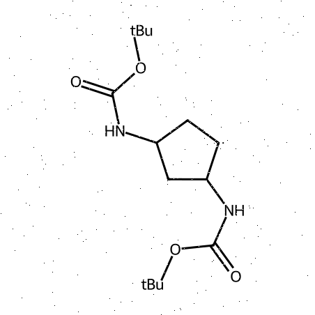 CC(C)(C)OC(=O)NC1[CH]CC(NC(=O)OC(C)(C)C)C1